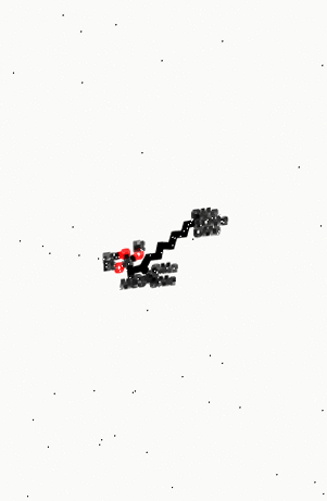 CCCCCC(C(CCCCCCC[Si](OC)(OC)OC)[Si](OC)(OC)OC)[Si](OCC)(OCC)OCC